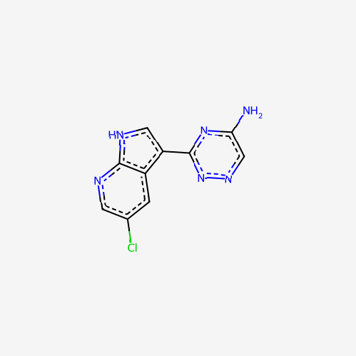 Nc1cnnc(-c2c[nH]c3ncc(Cl)cc23)n1